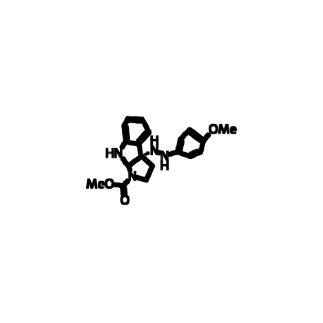 COC(=O)N1CC[C@]2(NNc3ccc(OC)cc3)c3ccccc3NC12